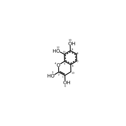 OC1=C(O)Oc2c(ccc(O)c2O)C1